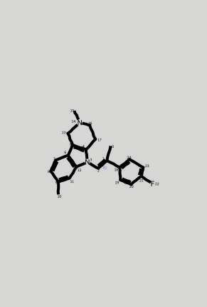 C/C(=C\n1c2c(c3ccc(C)cc31)CN(C)CC2)c1ccc(F)cc1